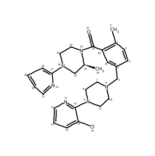 Cc1ccc(CN2CCN(c3ncccc3Cl)CC2)cc1C(=O)N1CCN(c2ccccn2)C[C@@H]1C